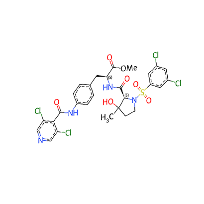 COC(=O)[C@H](Cc1ccc(NC(=O)c2c(Cl)cncc2Cl)cc1)NC(=O)[C@H]1N(S(=O)(=O)c2cc(Cl)cc(Cl)c2)CCC1(C)O